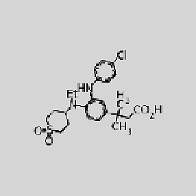 CCN(c1ccc(C(C)(C)CC(=O)O)cc1Nc1ccc(Cl)cc1)C1CCS(=O)(=O)CC1